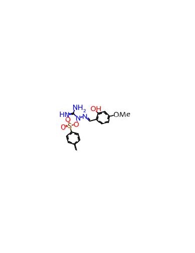 COc1ccc(C=NN(OS(=O)(=O)c2ccc(C)cc2)C(=N)N)c(O)c1